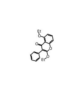 CCOc1oc2cccc(OCC)c2c(=O)c1-c1ccccc1